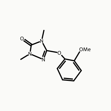 COc1ccccc1Oc1nn(C)c(=O)n1C